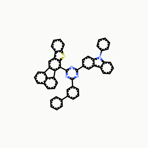 c1ccc(-c2cccc(-c3nc(-c4ccc5c(c4)c4ccccc4n5-c4ccccc4)nc(-c4c5c(cc6c4sc4ccccc46)-c4cccc6cccc-5c46)n3)c2)cc1